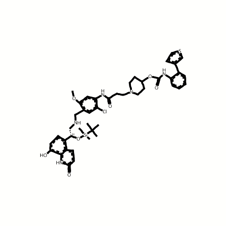 COc1cc(NC(=O)CCN2CCC(OC(=O)Nc3ccccc3-c3ccsc3)CC2)c(Cl)cc1CNC[C@H](O[Si](C)(C)C(C)(C)C)c1ccc(O)c2[nH]c(=O)ccc12